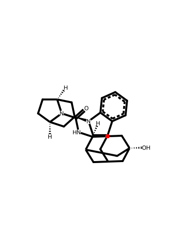 O=C(N[C@H]1C2CC3CC1C[C@](O)(C3)C2)N1[C@@H]2CC[C@H]1C[C@@H](N1CCc3ccccc31)C2